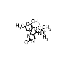 CC1CN(c2nc(Cl)ncc2C(=O)NC(C)(C)C)CC(C)O1